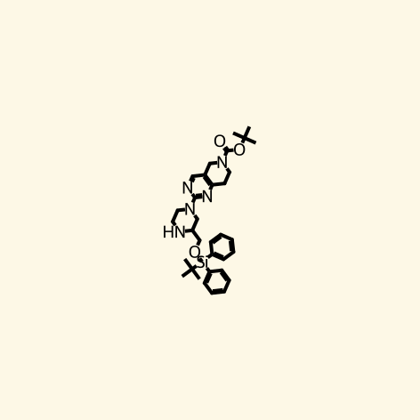 CC(C)(C)OC(=O)N1CCc2nc(N3CCNC(CO[Si](c4ccccc4)(c4ccccc4)C(C)(C)C)C3)ncc2C1